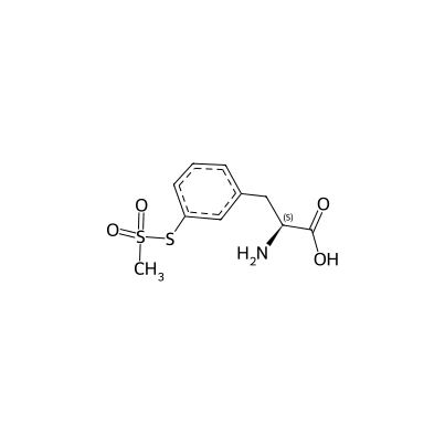 CS(=O)(=O)Sc1cccc(C[C@H](N)C(=O)O)c1